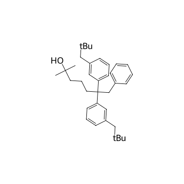 CC(C)(C)Cc1cccc(C(CCCC(C)(C)O)(Cc2ccccc2)c2cccc(CC(C)(C)C)c2)c1